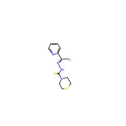 C/C(=N\NC(=S)N1CCSCC1)c1ccccn1